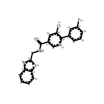 O=C(NCc1nc2ccccc2s1)c1cnc(-c2cccc(F)c2)c(Cl)c1